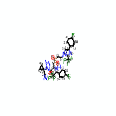 N#CC1(NC(=O)C(CS(=O)(=O)CCn2cc(-c3ccc(F)cc3)nc2C(F)(F)F)N[C@H](c2ccc(F)cc2)C(F)(F)F)CC1